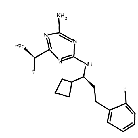 CCC[C@H](F)c1nc(N)nc(N[C@@H](CCc2ccccc2F)C2CCC2)n1